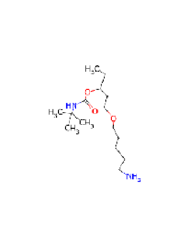 CCC(CCOCCCCCN)OC(=O)NC(C)(C)C